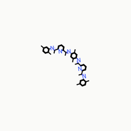 C/C(=N\c1cc(C)ccc1C)c1cccc(/C(C)=N/c2cc(C)c(/N=C(\C)c3cccc(/C(C)=N/c4cc(C)ccc4C)n3)cc2C)n1